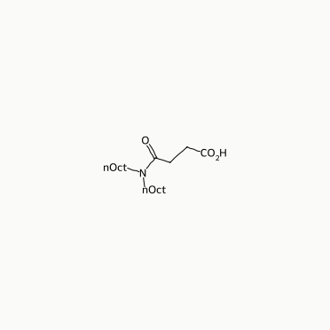 CCCCCCCCN(CCCCCCCC)C(=O)CCC(=O)O